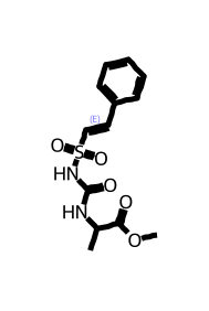 COC(=O)C(C)NC(=O)NS(=O)(=O)/C=C/c1ccccc1